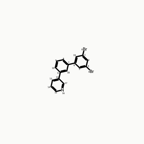 Brc1cc(Br)cc(-c2cccc(-c3cccnc3)c2)c1